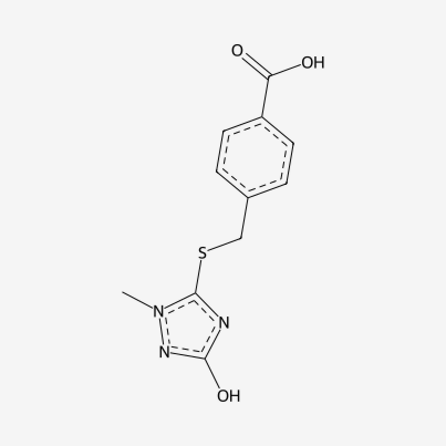 Cn1nc(O)nc1SCc1ccc(C(=O)O)cc1